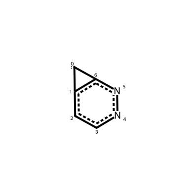 [C]1c2ccnnc21